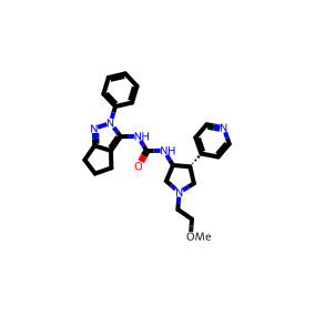 COCCN1CC(NC(=O)Nc2c3c(nn2-c2ccccc2)CCC3)[C@H](c2ccncc2)C1